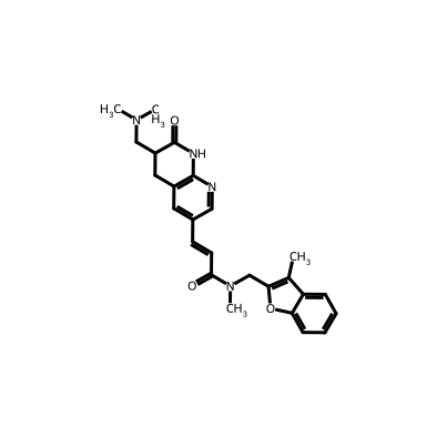 Cc1c(CN(C)C(=O)/C=C/c2cnc3c(c2)CC(CN(C)C)C(=O)N3)oc2ccccc12